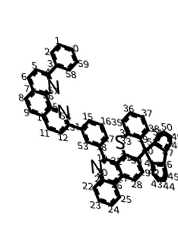 c1ccc(-c2ccc3ccc4ccc(-c5cccc(-c6nc7ccccc7c7ccc8c(c67)Sc6ccccc6C86c7ccccc7-c7ccccc76)c5)nc4c3n2)cc1